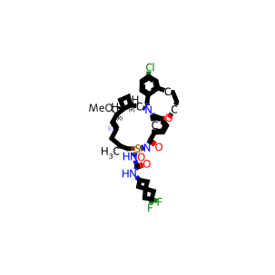 CO[C@H]1/C=C/C[C@H](C)CS(=O)(NC(=O)NC2CC3(C2)CC(F)(F)C3)=NC(=O)c2ccc3c(c2)N(Cc2ccc(Cl)cc2CCCCO3)C[C@@H]2CC[C@H]21